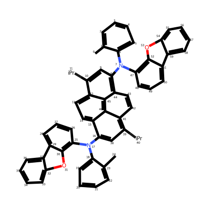 Cc1ccccc1N(c1cc(C(C)C)c2ccc3c(N(c4ccccc4C)c4cccc5c4oc4ccccc45)cc(C(C)C)c4ccc1c2c43)c1cccc2c1oc1ccccc12